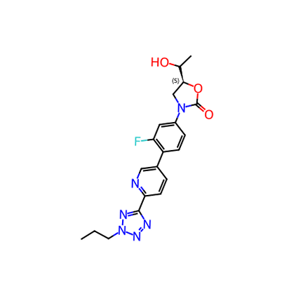 CCCn1nnc(-c2ccc(-c3ccc(N4C[C@@H](C(C)O)OC4=O)cc3F)cn2)n1